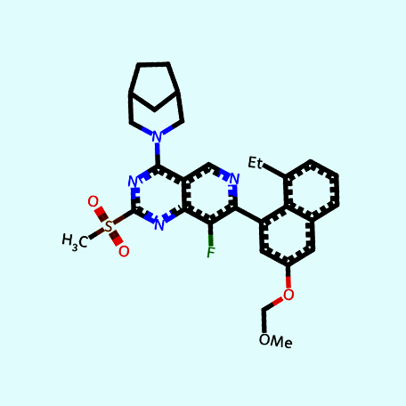 CCc1cccc2cc(OCOC)cc(-c3ncc4c(N5CC6CCC(C6)C5)nc(S(C)(=O)=O)nc4c3F)c12